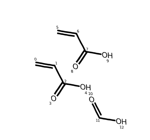 C=CC(=O)O.C=CC(=O)O.O=CO